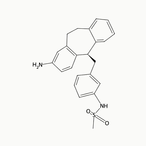 CS(=O)(=O)Nc1cccc(C[C@@H]2c3ccccc3CCc3cc(N)ccc32)c1